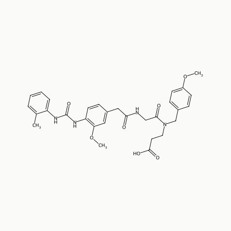 COc1ccc(CN(CCC(=O)O)C(=O)CNC(=O)Cc2ccc(NC(=O)Nc3ccccc3C)c(OC)c2)cc1